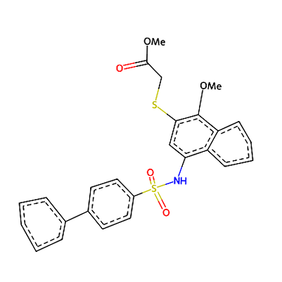 COC(=O)CSc1cc(NS(=O)(=O)c2ccc(-c3ccccc3)cc2)c2ccccc2c1OC